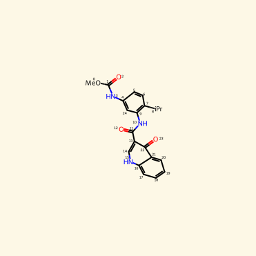 COC(=O)Nc1ccc(C(C)C)c(NC(=O)c2c[nH]c3ccccc3c2=O)c1